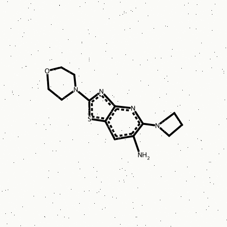 Nc1cc2sc(N3CCOCC3)nc2nc1N1CCC1